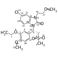 CCOc1cc([C@@H](CS(C)(=O)=O)n2c(=O)n(CCOC)c3cc(Cl)ccc32)ccc1OC